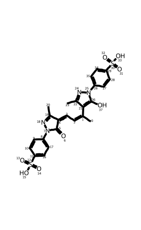 CC(=CC=C1C(=O)N(c2ccc(S(=O)(=O)O)cc2)N=C1C)c1c(C)nn(-c2ccc(S(=O)(=O)O)cc2)c1O